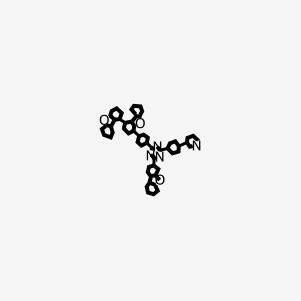 c1cncc(-c2ccc(-c3nc(-c4ccc(-c5ccc(-c6cccc7oc8ccccc8c67)c6c5oc5ccccc56)cc4)nc(-c4ccc5c(c4)oc4ccccc45)n3)cc2)c1